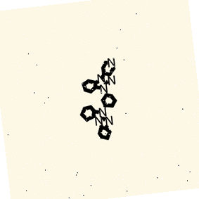 c1cc(-n2c3ccccc3n3c4ccccc4nc23)cc(-n2c3ccccc3n3c4ccncc4nc23)c1